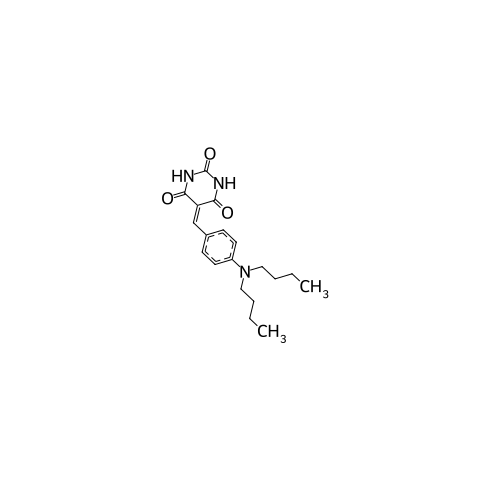 CCCCN(CCCC)c1ccc(C=C2C(=O)NC(=O)NC2=O)cc1